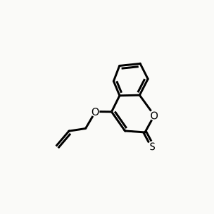 C=CCOc1cc(=S)oc2ccccc12